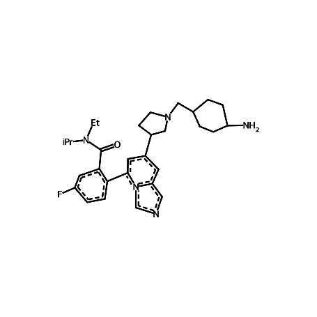 CCN(C(=O)c1cc(F)ccc1-c1cc(C2CCN(CC3CCC(N)CC3)C2)cc2cncn12)C(C)C